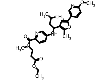 CCOC(=O)CCN(C)C(=O)c1ccc(NC(CC(C)C)c2cc(-c3ccc(OC)nc3)oc2C)cn1